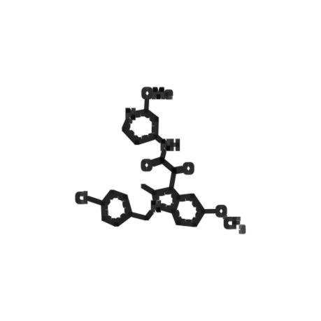 COc1cc(NC(=O)C(=O)c2c(C)n(Cc3ccc(Cl)cc3)c3ccc(OC(F)(F)F)cc23)ccn1